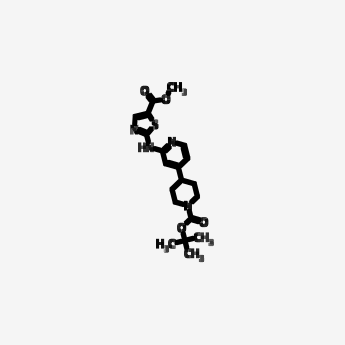 COC(=O)c1cnc(Nc2cc(C3CCN(C(=O)OC(C)(C)C)CC3)ccn2)s1